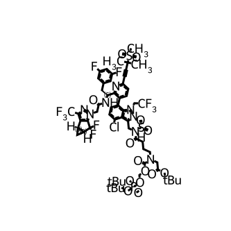 CC(C)(C)OC(=O)CN(CCCC(=O)N(Cc1nn(CC(F)(F)F)c2c(-c3ccc(C#CC(C)(C)S(C)(=O)=O)nc3[C@H](Cc3cc(F)cc(F)c3)NC(=O)Cn3nc(C(F)(F)F)c4c3C(F)(F)[C@@H]3C[C@H]43)ccc(Cl)c12)[SH](=O)=O)C(=O)OCOP(=O)(OC(C)(C)C)OC(C)(C)C